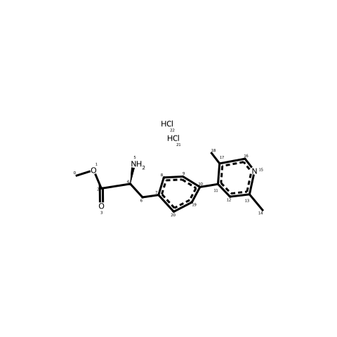 COC(=O)[C@@H](N)Cc1ccc(-c2cc(C)ncc2C)cc1.Cl.Cl